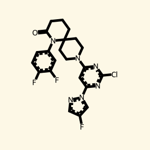 O=C1CCCC2(CCN(c3cc(-n4cc(F)cn4)nc(Cl)n3)CC2)N1c1ccc(F)c(F)c1